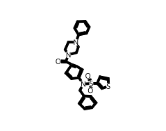 O=C(c1ccc(N(Cc2ccccc2)S(=O)(=O)c2ccsc2)cc1)N1CCN(c2ccccc2)CC1